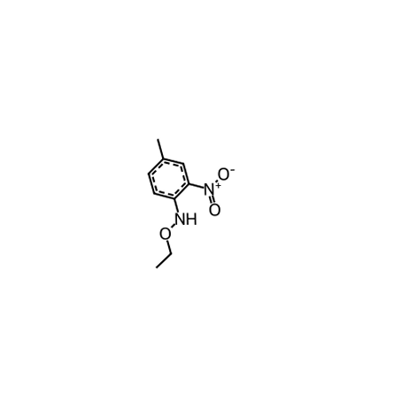 CCONc1ccc(C)cc1[N+](=O)[O-]